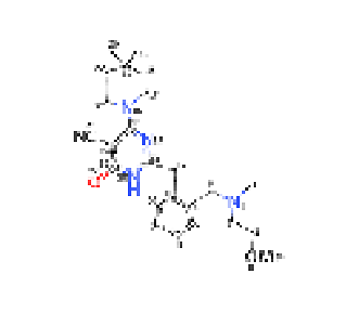 COCCN(C)Cc1ccccc1Cc1nc(N2CCC(C)(C)CC2)c(C#N)c(=O)[nH]1